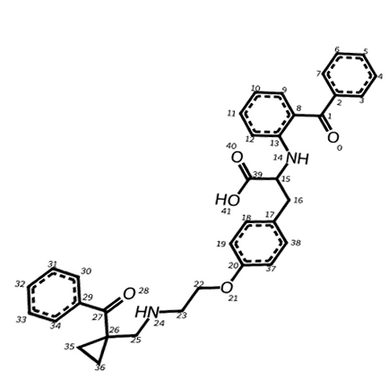 O=C(c1ccccc1)c1ccccc1NC(Cc1ccc(OCCNCC2(C(=O)c3ccccc3)CC2)cc1)C(=O)O